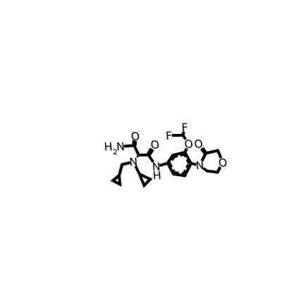 NC(=O)[C@H](C(=O)Nc1ccc(N2CCOCC2=O)c(OC(F)F)c1)N(CC1CC1)C1CC1